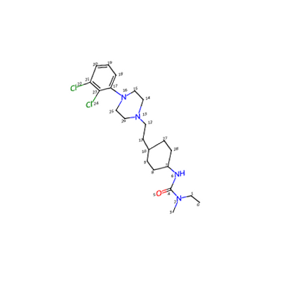 CCN(C)C(=O)NC1CCC(CCN2CCN(c3cccc(Cl)c3Cl)CC2)CC1